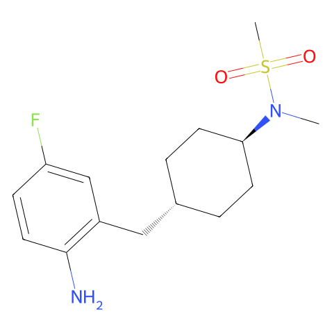 CN([C@H]1CC[C@H](Cc2cc(F)ccc2N)CC1)S(C)(=O)=O